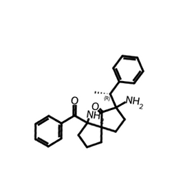 C[C@H](c1ccccc1)C1(N)CCC2(CCCC2(N)C(=O)c2ccccc2)C1=O